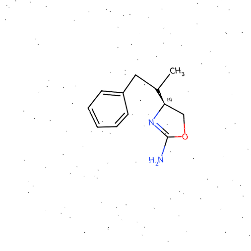 CC(Cc1ccccc1)[C@H]1COC(N)=N1